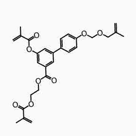 C=C(C)COCOc1ccc(-c2cc(OC(=O)C(=C)C)cc(C(=O)OCCOC(=O)C(=C)C)c2)cc1